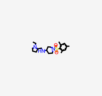 CCN1CCCC1CNC1CCN(S(=O)(=O)c2c(C)cc(C)cc2C)CC1